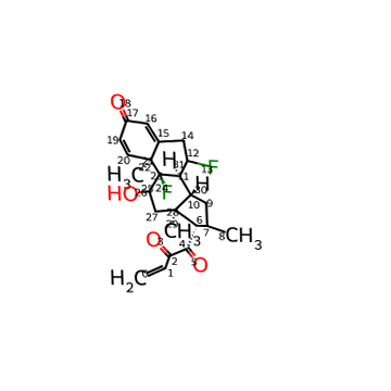 C=CC(=O)C(=O)[C@H]1C(C)C[C@H]2[C@@H]3C(F)CC4=CC(=O)C=C[C@]4(C)[C@@]3(F)C(O)C[C@]12C